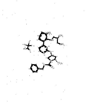 CC(CN)CNc1c(-c2ccnc(O[C@H]3C[C@@H](C(=O)O)N(C(=O)OCc4ccccc4)C3)n2)cccc1[N+](=O)[O-].O=C(O)C(F)(F)F